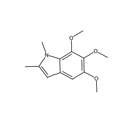 COc1cc2[c]c(C)n(C)c2c(OC)c1OC